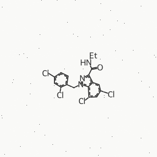 CCNC(=O)c1nn(Cc2ccc(Cl)cc2Cl)c2c(Cl)cc(Cl)cc12